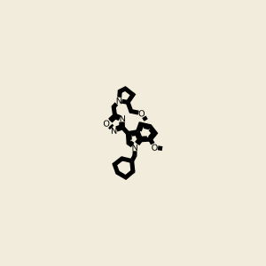 COCC1CCCN1Cc1nc(-c2cn(CC3CCCCC3)c3c(OC)cccc23)no1